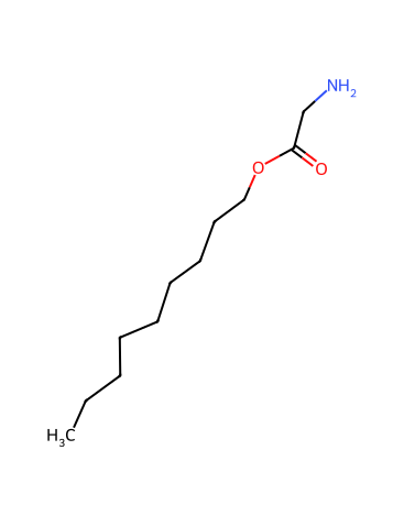 CCCCCCCCCOC(=O)CN